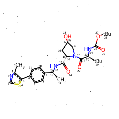 Cc1ncsc1-c1ccc([C@H](C)NC(=O)[C@@H]2C[C@@H](O)CN2C(=O)[C@@H](NC(=O)OC(C)(C)C)C(C)(C)C)cc1